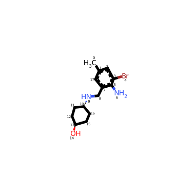 Cc1cc(Br)c(N)c(CN[C@H]2CC[C@H](O)CC2)c1